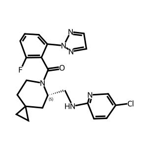 O=C(c1c(F)cccc1-n1nccn1)N1CCC2(CC2)C[C@H]1CNc1ccc(Cl)cn1